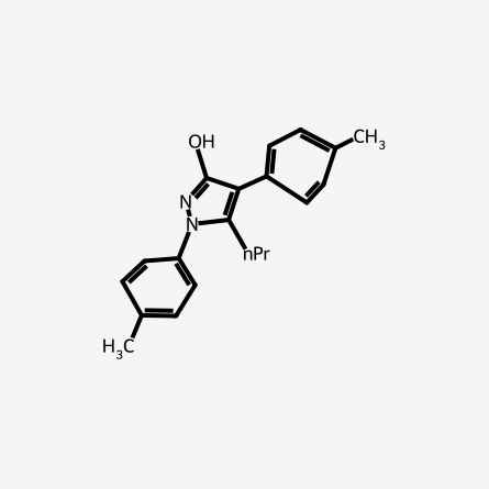 CCCc1c(-c2ccc(C)cc2)c(O)nn1-c1ccc(C)cc1